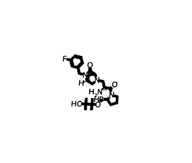 CC(C)(O)C(C)(C)OBC1CCCN1C(=O)[C@@H](N)CN1C[C@@H]2CC1C(=O)N2Cc1cccc(F)c1